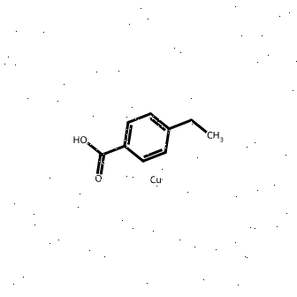 CCc1ccc(C(=O)O)cc1.[Cu]